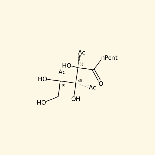 CCCCCC(=O)[C@@](O)(C(C)=O)[C@](O)(C(C)=O)[C@](O)(CO)C(C)=O